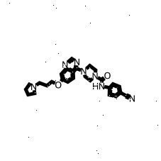 N#Cc1ccc(NC(=O)N2CCN(c3ncnc4cc(OCCCN5CCCC5)ccc34)CC2)cc1